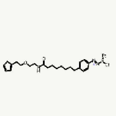 CCN(CC)/N=N/c1ccc(CCCCCCCC(=O)NCCOCCC2=CC=CC2)cc1